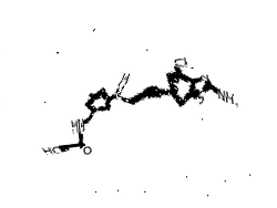 C#CC(=O)NCc1cccc(NCC#Cc2cc(Cl)c3nc(N)sc3c2)c1